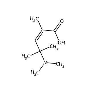 CC(=CC(C)(C)N(C)C)C(=O)O